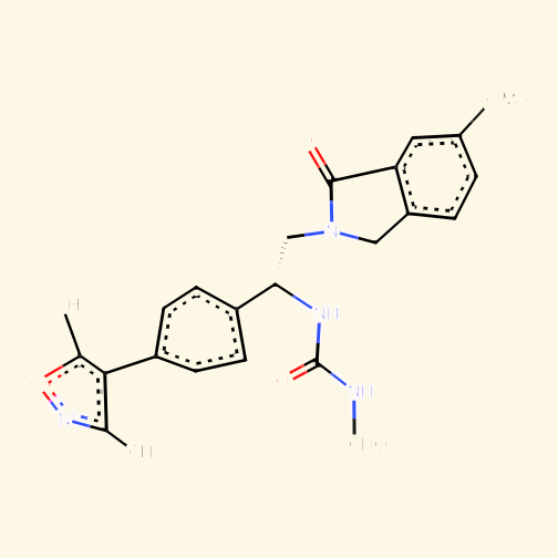 COc1ccc2c(c1)C(=O)N(C[C@H](NC(=O)NC=O)c1ccc(-c3c(C)noc3C)cc1)C2